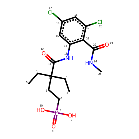 CCC(CC)(CCP(=O)(O)O)C(=O)Nc1cc(Cl)cc(Cl)c1C(=O)NC